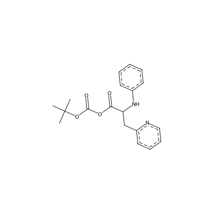 CC(C)(C)OC(=O)OC(=O)C(Cc1ccccn1)Nc1ccccc1